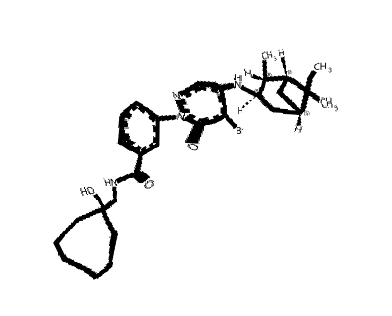 C[C@@H]1[C@H]2C[C@@H](C[C@H]1Nc1cnn(-c3cccc(C(=O)NCC4(O)CCCCCC4)c3)c(=O)c1Br)C2(C)C